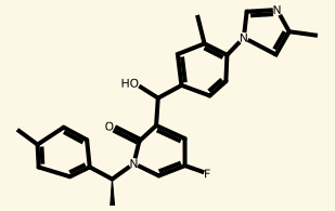 Cc1ccc([C@H](C)n2cc(F)cc(C(O)c3ccc(-n4cnc(C)c4)c(C)c3)c2=O)cc1